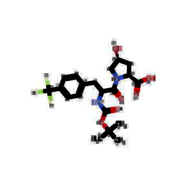 CC(C)(C)OC(=O)NC(Cc1ccc(C(F)(F)F)cc1)C(=O)N1C[C@H](O)C[C@H]1C(=O)O